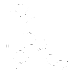 Cc1cc(C)c(Oc2nc(-c3ccc4cc(C)[nH]c4c3)ccc2C(=O)NS(=O)(=O)c2cccc(N)n2)c(C)c1